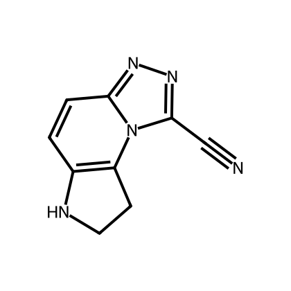 N#Cc1nnc2ccc3c(n12)CCN3